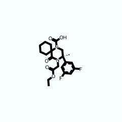 CCOC(=O)CN1C(=O)C2(CCCCC2)N(C(=O)O)C[C@@]1(C)c1cc(F)cc(F)c1